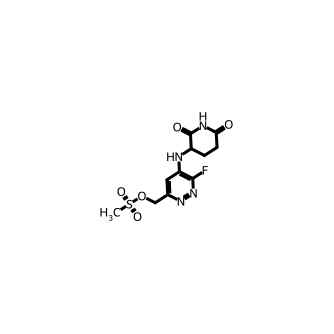 CS(=O)(=O)OCc1cc(NC2CCC(=O)NC2=O)c(F)nn1